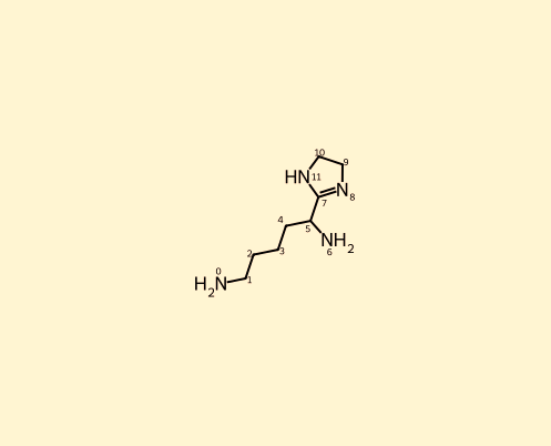 NCCCCC(N)C1=NCCN1